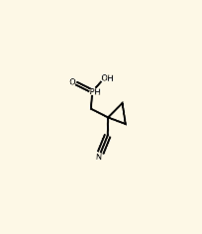 N#CC1(C[PH](=O)O)CC1